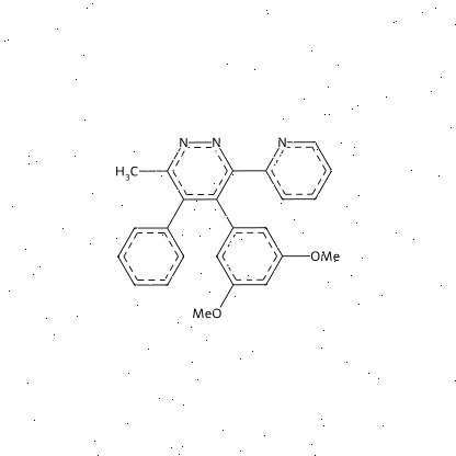 COc1cc(OC)cc(-c2c(-c3ccccn3)nnc(C)c2-c2ccccc2)c1